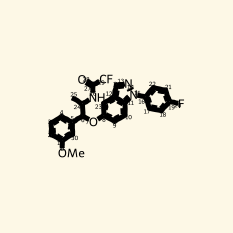 COc1cccc(C(Oc2ccc3c(cnn3-c3ccc(F)cc3)c2)C(C)NC(=O)C(F)(F)F)c1